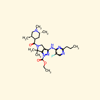 CCCc1ncc(F)c(Nc2nn(C(=O)OCC)c3c2CN(C(=O)C2C[C@@H](C)N(C)C[C@@H]2C)C3(C)C)n1